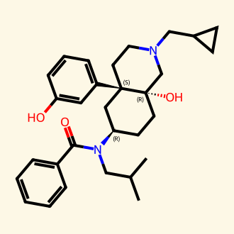 CC(C)CN(C(=O)c1ccccc1)[C@@H]1CC[C@]2(O)CN(CC3CC3)CC[C@@]2(c2cccc(O)c2)C1